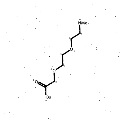 CCC(C)C(=O)COCCOCCNC